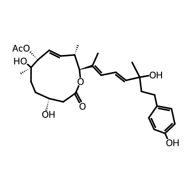 CC(=O)O[C@@H]1/C=C/[C@H](C)[C@@H](/C(C)=C/C=C/C(C)(O)CCc2ccc(O)cc2)OC(=O)C[C@H](O)CC[C@@]1(C)O